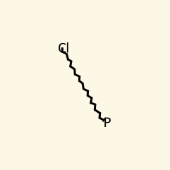 P#CCCCCCCCCCCCCCCCCCCCCl